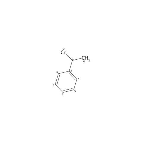 C[CH]([Cr])c1ccccc1